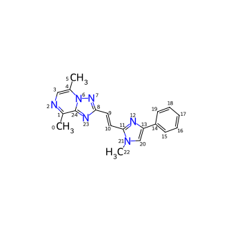 Cc1ncc(C)n2nc(C=Cc3nc(-c4ccccc4)cn3C)nc12